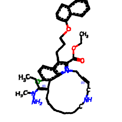 CCOC(=O)c1c(CCCOc2cccc3ccccc23)c2ccc(Cl)c3c2n1C/C=C\CNCCCCCC/C3=C(/CC)N(C)N